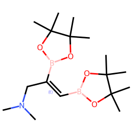 CN(C)C/C(=C/B1OC(C)(C)C(C)(C)O1)B1OC(C)(C)C(C)(C)O1